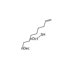 C=CCCCCCCCCCCCCCCCC.CCCCCCCCS